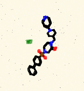 Cl.O=C1CN(S(=O)(=O)c2ccc(-c3ccccc3)cc2)CCN1CC1CCN(c2ccncc2)CC1